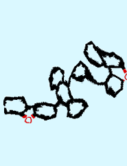 C1=CC(c2cccc(-c3c4ccccc4c(-c4ccc5oc6ccccc6c5c4)c4ccccc34)c2)=C2c3c(ccc4ccccc34)OC2C1